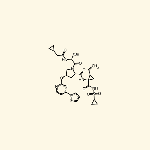 C=C[C@H]1C[C@]1(NC(=O)[C@@H]1C[C@@H](Oc2nccc(-c3cccs3)n2)CN1C(=O)[C@@H](NC(=O)CC1CC1)C(C)(C)C)C(=O)NS(=O)(=O)C1CC1